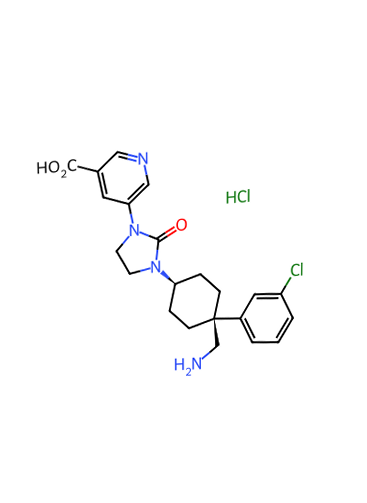 Cl.NC[C@]1(c2cccc(Cl)c2)CC[C@H](N2CCN(c3cncc(C(=O)O)c3)C2=O)CC1